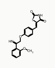 COc1ccccc1C(=N)COc1ccc(/C=C2\SC(=O)NC2=O)cc1